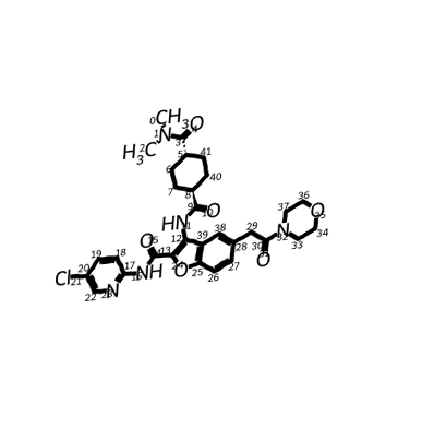 CN(C)C(=O)[C@H]1CC[C@H](C(=O)Nc2c(C(=O)Nc3ccc(Cl)cn3)oc3ccc(CC(=O)N4CCOCC4)cc23)CC1